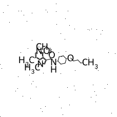 CCCCO[C@H]1CC[C@H](NC(=O)c2cn(C)c3c(C)cn(C)c(=O)c23)CC1